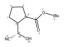 CC(C)(C)OC(=O)N1CCCC1[C@H](O)C#N